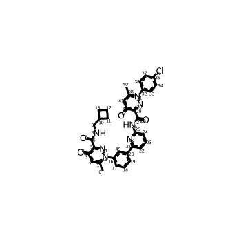 Cc1cc(=O)c(C(=O)NCC2CCC2)nn1-c1cccc(-c2cccc(NC(=O)c3nn(-c4ccc(Cl)cc4)c(C)cc3=O)n2)c1